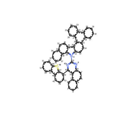 c1ccc2c(c1)ccc1nc(-n3c4ccc5c6ccccc6c6ccccc6c5c4c4ccc5ccccc5c43)nc(-c3cccc4c3sc3ccccc34)c12